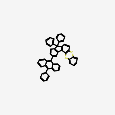 c1ccc(-c2c3ccccc3c(-c3ccc4c(c3)-c3c(ccc5c3Sc3ccccc3S5)C4(c3ccccc3)c3ccccc3)c3ccccc23)cc1